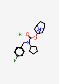 C[N+]1(C)C2CCC1CC(OC(=O)N(Cc1ccc(F)cc1)C1CCCC1)C2.[Br-]